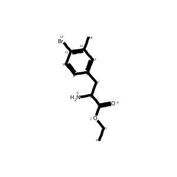 CCOC(=O)C(N)Cc1ccc(Br)c(C)c1